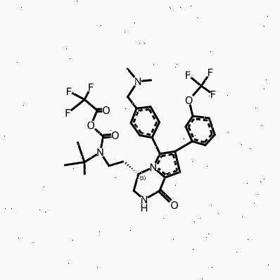 CN(C)Cc1ccc(-c2c(-c3cccc(OC(F)(F)F)c3)cc3n2[C@@H](CCN(C(=O)OC(=O)C(F)(F)F)C(C)(C)C)CNC3=O)cc1